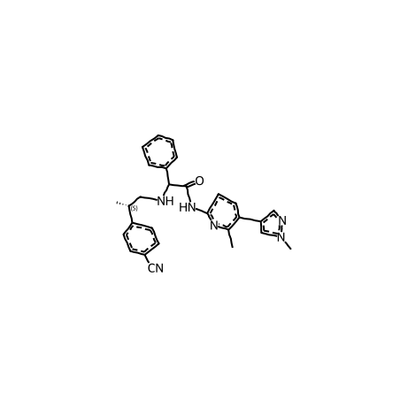 Cc1nc(NC(=O)C(NC[C@@H](C)c2ccc(C#N)cc2)c2ccccc2)ccc1-c1cnn(C)c1